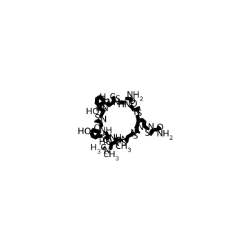 Cc1sc2nc1C(=O)N[C@@H]([C@H](O)c1ccccc1)c1nc(cs1)C(=O)N[C@@H](Cc1ccc(O)cc1)C(=O)N[C@@H]([C@@H](C)[C@@H](O)CN(C)C)c1nc(cs1)-c1nc(cs1)-c1nc(-c3nc(C(N)=O)cs3)ccc1-c1nc(cs1)C(=O)N[C@H]2CC(N)=O